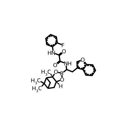 CC1(C)C2CC1[C@]1(C)OB(C(Cc3coc4ccccc34)NC(=O)C(=O)Nc3ccccc3F)O[C@@H]1C2